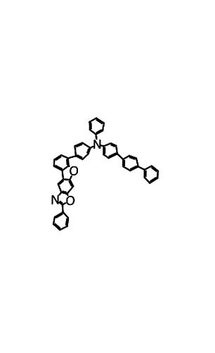 c1ccc(-c2ccc(-c3ccc(N(c4ccccc4)c4ccc(-c5cccc6c5oc5cc7oc(-c8ccccc8)nc7cc56)cc4)cc3)cc2)cc1